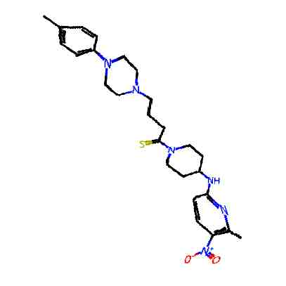 Cc1ccc(N2CCN(CCCC(=S)N3CCC(Nc4ccc([N+](=O)[O-])c(C)n4)CC3)CC2)cc1